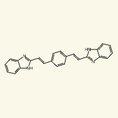 C(=Cc1nc2ccccc2[nH]1)c1ccc(C=Cc2nc3ccccc3[nH]2)cc1